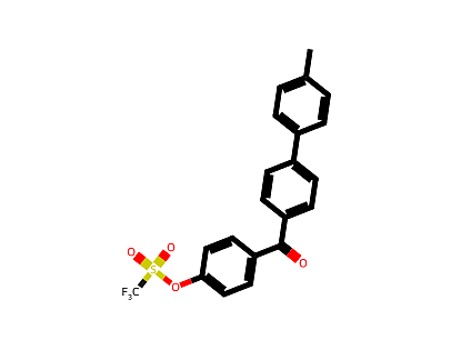 Cc1ccc(-c2ccc(C(=O)c3ccc(OS(=O)(=O)C(F)(F)F)cc3)cc2)cc1